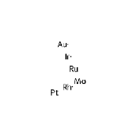 [Au].[Ir].[Mo].[Pt].[Rh].[Ru]